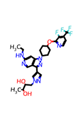 CCNc1cc2c(cn1)c(-c1cnn(C[C@H](O)[C@H](C)O)c1)nn2C1CCC(Oc2nccc(C(F)(F)F)c2F)CC1